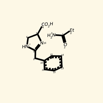 CCC(N)=O.O=C(O)C1CNC(Cc2ccccc2)=N1